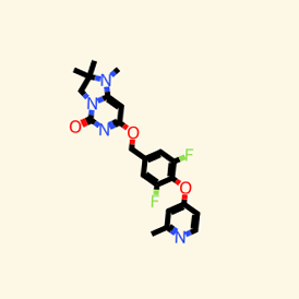 Cc1cc(Oc2c(F)cc(COc3cc4n(c(=O)n3)CC(C)(C)N4C)cc2F)ccn1